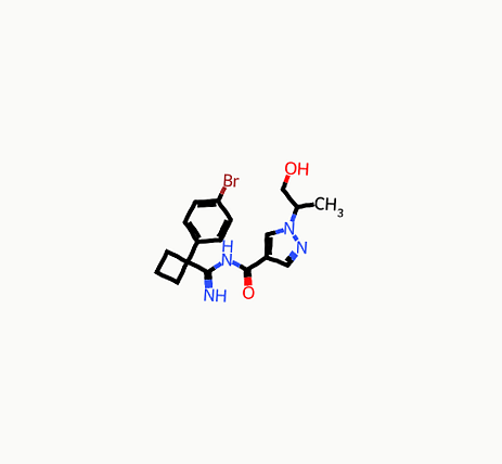 CC(CO)n1cc(C(=O)NC(=N)C2(c3ccc(Br)cc3)CCC2)cn1